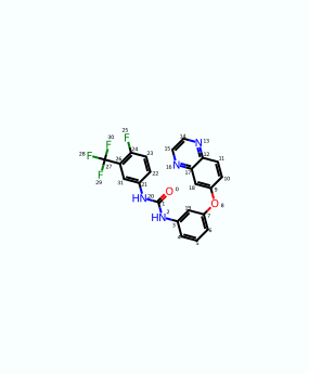 O=C(Nc1cccc(Oc2ccc3nccnc3c2)c1)Nc1ccc(F)c(C(F)(F)F)c1